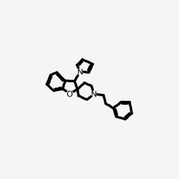 c1ccc(CCN2CCC3(CC2)Oc2ccccc2C3n2cccc2)cc1